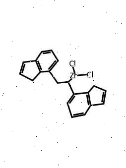 [Cl][Zr]([Cl])[CH](Cc1cccc2c1CC=C2)c1cccc2c1CC=C2